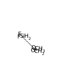 C=C(C)C(=O)OCCCCCCCCCCC[SiH2]C(F)F